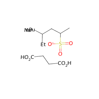 CCCCC(CC)CC(C)S(=O)(=O)[O-].O=C(O)CCC(=O)O.[Na+]